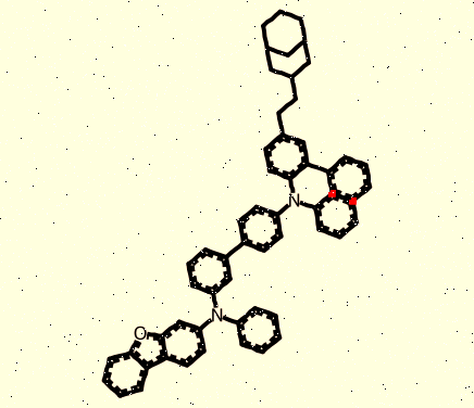 c1ccc(-c2cc(CCC3CC4CCCC(C4)C3)ccc2N(c2ccccc2)c2ccc(-c3cccc(N(c4ccccc4)c4ccc5c(c4)oc4ccccc45)c3)cc2)cc1